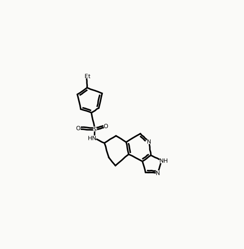 CCc1ccc(S(=O)(=O)NC2CCc3c(cnc4[nH]ncc34)C2)cc1